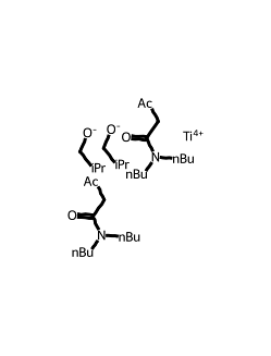 CC(C)C[O-].CC(C)C[O-].CCCCN(CCCC)C(=O)CC(C)=O.CCCCN(CCCC)C(=O)CC(C)=O.[Ti+4]